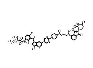 CCN(C)S(=O)(=O)Nc1ccc(F)c(C(=O)c2c[nH]c3ncc(-c4cnc(N5CCN(C(=O)CCCNc6cccc7c6C(=O)N(C6CCC(=O)NC6=O)C7=O)CC5)nc4)cc23)c1F